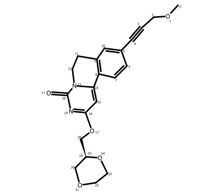 COCC#Cc1ccc2c(c1)CCn1c-2cc(OC[C@@H]2COCCO2)nc1=O